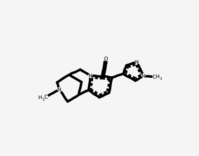 CN1CC2CC(C1)c1ccc(-c3cnn(C)c3)c(=O)n1C2